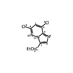 CCOC(=O)c1cnc2c(Cl)cc(Cl)nn12